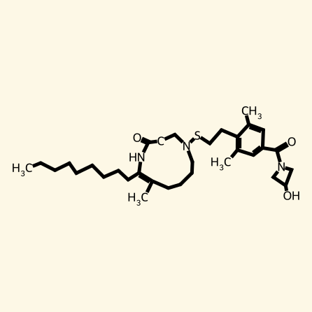 CCCCCCCCC/C1=C(\C)CCCCN(SCCc2c(C)cc(C(=O)N3CC(O)C3)cc2C)CCC(=O)N1